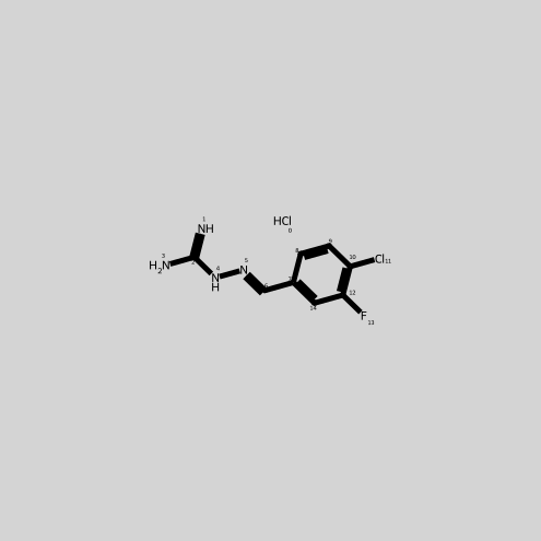 Cl.N=C(N)N/N=C/c1ccc(Cl)c(F)c1